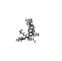 C/C=C\CCC/C(CNCCC)=C(/N)c1ccc(OC2CCN(C(=O)CO)CC2F)c(C#N)c1